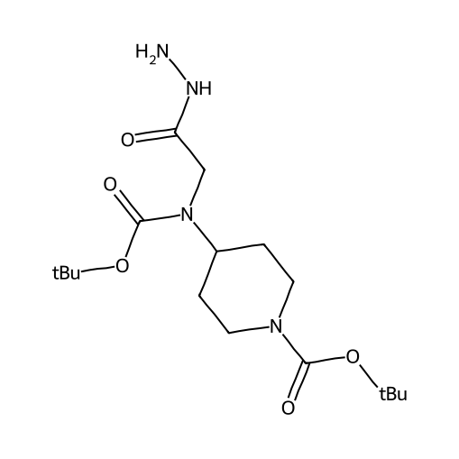 CC(C)(C)OC(=O)N1CCC(N(CC(=O)NN)C(=O)OC(C)(C)C)CC1